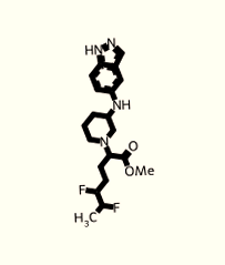 COC(=O)C(CCC(F)C(C)F)N1CCCC(Nc2ccc3[nH]ncc3c2)C1